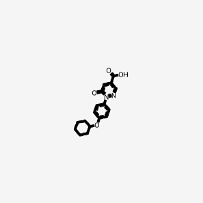 O=C(O)c1cnn(-c2ccc(OC3CCCCC3)cc2)c(=O)c1